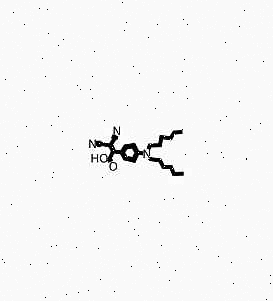 CCCCCCN(CCCCCC)c1ccc(C(C(=O)O)=C(C#N)C#N)cc1